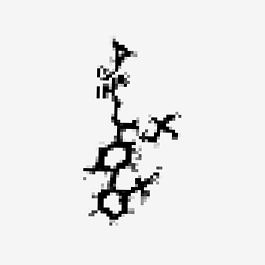 CC(C)(C)Cn1cc(CCNS(=O)(=O)C2CC2)c2cc(F)c(-c3ccccc3C(F)(F)F)cc21